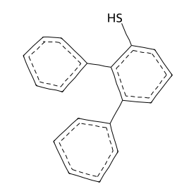 Sc1cccc(-c2ccccc2)c1-c1ccccc1